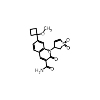 COC1(c2ccc3cc(C(N)=O)c(=O)n(C4C=CS(=O)(=O)C4)c3c2)CCC1